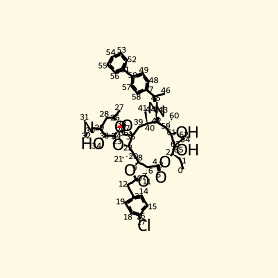 CC[C@H]1OC(=O)[C@H](C)[C@@H](OC(=O)Cc2ccc(Cl)cc2)[C@H](C)[C@@H](OC2OC(C)CC(N(C)C)C2O)[C@](C)(OC)C[C@@H](C)/C(=N\N=C(/C)c2ccc(-c3ccccc3)cc2)[C@H](C)[C@@H](O)[C@]1(C)O